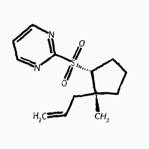 C=CC[C@@]1(C)CCC[C@H]1S(=O)(=O)c1ncccn1